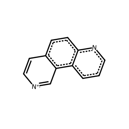 C1=Cc2ccc3ncccc3c2C=[N+]1